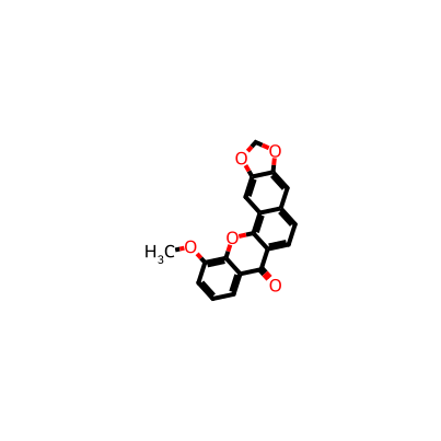 COc1cccc2c(=O)c3ccc4cc5c(cc4c3oc12)OCO5